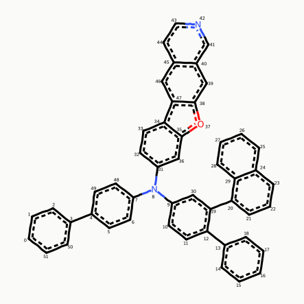 c1ccc(-c2ccc(N(c3ccc(-c4ccccc4)c(-c4cccc5ccccc45)c3)c3ccc4c(c3)oc3cc5cnccc5cc34)cc2)cc1